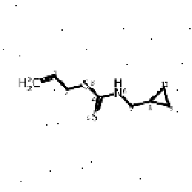 C=CCSC(=S)NCC1CC1